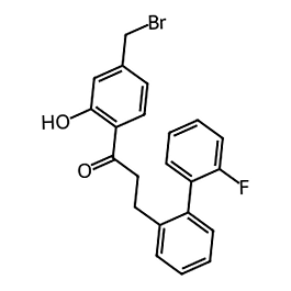 O=C(CCc1ccccc1-c1ccccc1F)c1ccc(CBr)cc1O